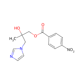 CC(O)(COC(=O)c1ccc([N+](=O)[O-])cc1)Cn1ccnc1